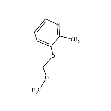 COCOc1cccnc1C